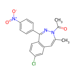 CC(=O)N1N=C(c2ccc([N+](=O)[O-])cc2)c2ccc(Cl)cc2C=C1C